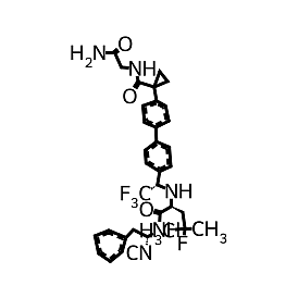 CC(C)(F)C[C@H](N[C@@H](c1ccc(-c2ccc(C3(C(=O)NCC(N)=O)CC3)cc2)cc1)C(F)(F)F)C(=O)N[C@H](C#N)Cc1ccccc1